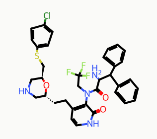 N[C@H](C(=O)N(CC(F)(F)F)c1c(CC[C@@H]2CNC[C@@H](CSc3ccc(Cl)cc3)O2)cc[nH]c1=O)C(c1ccccc1)c1ccccc1